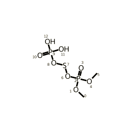 COP(=O)(OC)OSOP(=O)(O)O